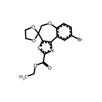 CCOC(=O)c1nc2c(s1)C1(COc3ccc(Br)cc3-2)OCCO1